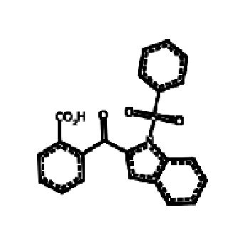 O=C(O)c1ccccc1C(=O)c1cc2ccccc2n1S(=O)(=O)c1ccccc1